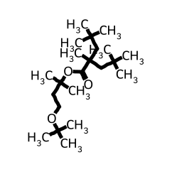 CC(C)(C)CC(C)(CC(C)(C)C)C(=O)OC(C)(C)CCOC(C)(C)C